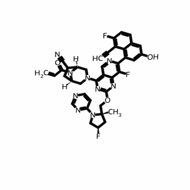 C#Cc1c(F)ccc2cc(O)cc(-c3ncc4c(N5C[C@H]6CC(C#N)[C@@H](C5)N6C(=O)C=C)nc(OC[C@]5(C)C[C@@H](F)CN5c5ccncn5)nc4c3F)c12